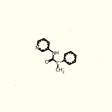 [CH2-][C+](C(=O)Nc1cccnc1)c1ccccc1